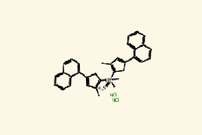 CC1=[C]([Hf]([CH3])([CH3])(=[SiH2])[C]2=C(C)C=C(c3cccc4ccccc34)C2)CC(c2cccc3ccccc23)=C1.Cl.Cl